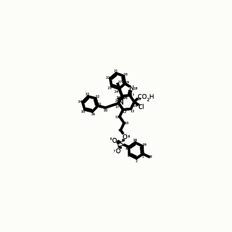 Cc1ccc(S(=O)(=O)OCCCC2CC(Cl)(C(=O)O)C3=Nc4ccccc4C34C(C)CN(Cc3ccccc3)C24)cc1